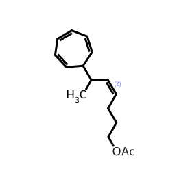 CC(=O)OCCC/C=C\C(C)C1C=CC=CC=C1